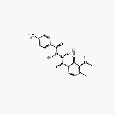 CCN(C(=O)C1C=CC(C)=C(N(C)C)C1=C=O)N(C(=O)c1ccc(C(F)(F)F)cc1)C(C)C